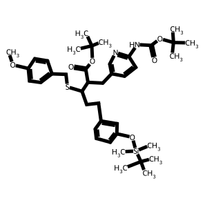 COc1ccc(CSC(CCc2cccc(O[Si](C)(C)C(C)(C)C)c2)C(Cc2ccc(NC(=O)OC(C)(C)C)nc2)C(=O)OC(C)(C)C)cc1